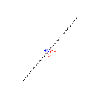 CCCCCCCCCCCCCCCCCCCC(O)NC(=O)CCCCCCCCCCCCCCCCC